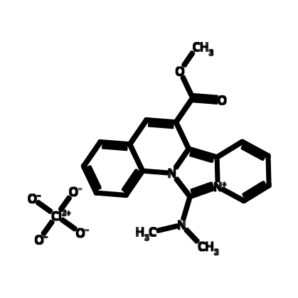 COC(=O)c1cc2ccccc2n2c(N(C)C)[n+]3ccccc3c12.[O-][Cl+3]([O-])([O-])[O-]